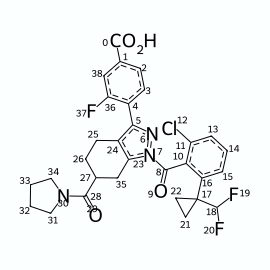 O=C(O)c1ccc(-c2nn(C(=O)c3c(Cl)cccc3C3(C(F)F)CC3)c3c2CCC(C(=O)N2CCCC2)C3)c(F)c1